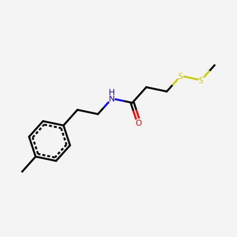 CSSCCC(=O)NCCc1ccc(C)cc1